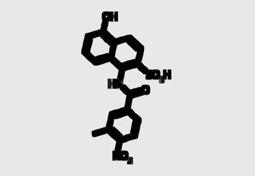 Cc1cc(C(=O)Nc2c(S(=O)(=O)O)ccc3c(O)cccc23)ccc1[N+](=O)[O-]